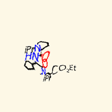 CCOC(=O)/C(C)=C/[C@H](C(C)C)N(C)C(=O)C(NC(=O)[C@H]1CCCCN1C(C)C)C1CCCC1